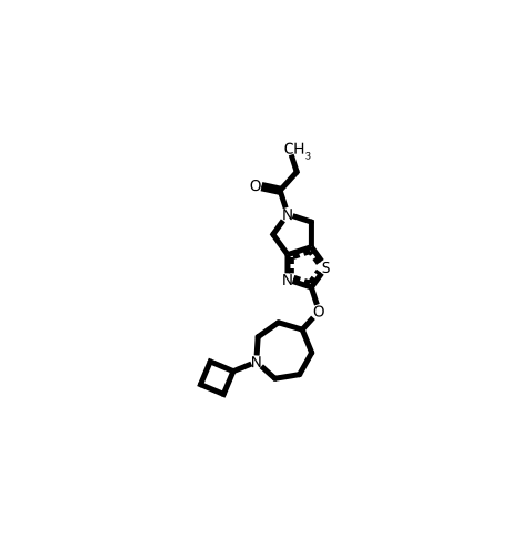 CCC(=O)N1Cc2nc(OC3CCCN(C4CCC4)CC3)sc2C1